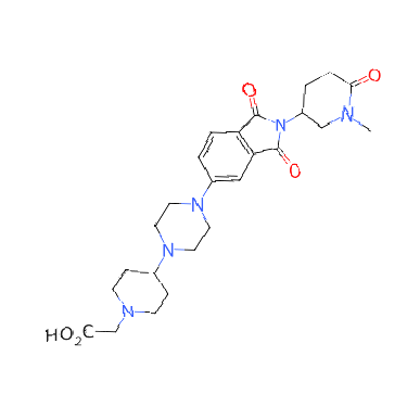 CN1CC(N2C(=O)c3ccc(N4CCN(C5CCN(CC(=O)O)CC5)CC4)cc3C2=O)CCC1=O